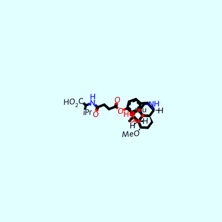 CO[C@@]12CC[C@@]3(C[C@@H]1[C@@](C)(O)C(C)(C)C)[C@H]1Cc4ccc(OC(=O)CCC(=O)NC(C(=O)O)C(C)C)c5c4[C@@]3(CCN1)[C@H]2O5